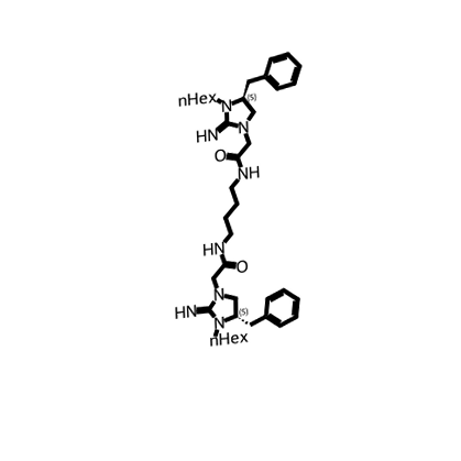 CCCCCCN1C(=N)N(CC(=O)NCCCCNC(=O)CN2C[C@H](Cc3ccccc3)N(CCCCCC)C2=N)C[C@@H]1Cc1ccccc1